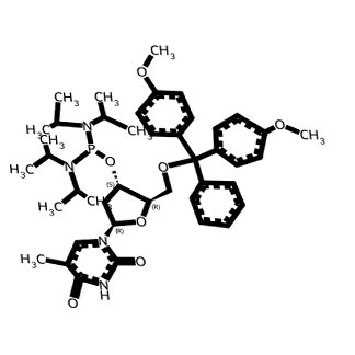 COc1ccc(C(OC[C@H]2O[C@@H](n3cc(C)c(=O)[nH]c3=O)C[C@@H]2OP(N(C(C)C)C(C)C)N(C(C)C)C(C)C)(c2ccccc2)c2ccc(OC)cc2)cc1